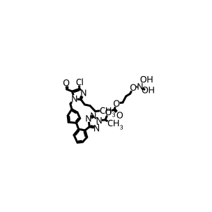 CCCCc1nc(Cl)c(C=O)n1Cc1ccc(-c2ccccc2-c2nnn(C(C)OC(=O)OCCCON(O)O)n2)cc1